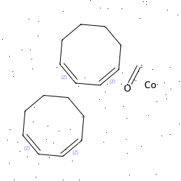 C1=C\CCCC\C=C/1.C1=C\CCCC\C=C/1.[C]=O.[Co]